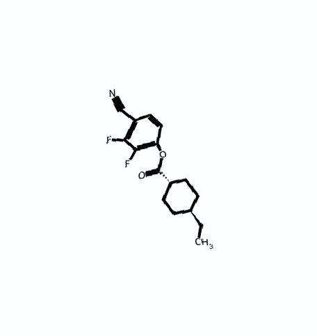 CC[C@H]1CC[C@H](C(=O)Oc2ccc(C#N)c(F)c2F)CC1